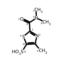 Cc1nc(C(=O)N(C)C)sc1S(=O)(=O)O